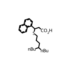 CCCCC(CCCC)CCCSC(CC(=O)O)c1cccc2ccccc12